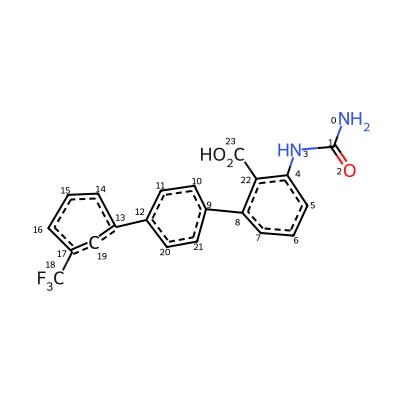 NC(=O)Nc1cccc(-c2ccc(-c3cccc(C(F)(F)F)c3)cc2)c1C(=O)O